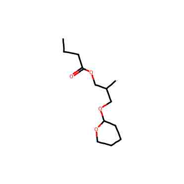 [CH2]C(COC(=O)CCC)COC1CCCCO1